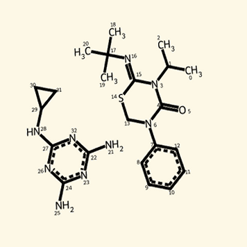 CC(C)N1C(=O)N(c2ccccc2)CS/C1=N\C(C)(C)C.Nc1nc(N)nc(NC2CC2)n1